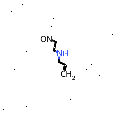 C=CCNCCN=O